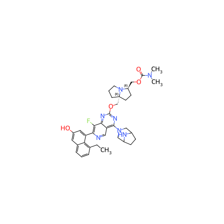 CCc1cccc2cc(O)cc(-c3ncc4c(N5CC6CCC(C5)N6)nc(OC[C@]56CCCN5[C@@H](COC(=O)N(C)C)CC6)nc4c3F)c12